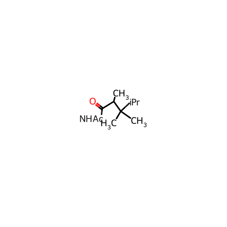 CC(=O)NC(=O)C(C)C(C)(C)C(C)C